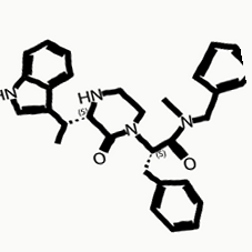 CC(c1c[nH]c2ccccc12)[C@@H]1NCCN([C@@H](Cc2ccccc2)C(=O)N(C)Cc2ccccc2)C1=O